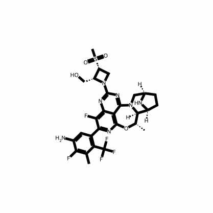 Cc1c(F)c(N)cc(-c2nc3c4c(nc(N5C[C@@H](S(C)(=O)=O)[C@H]5CO)nc4c2F)N2C[C@H]4CC[C@H](N4)[C@H]2[C@H](C)O3)c1C(F)(F)F